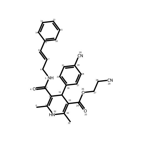 CC1=C(C(=O)NCC=Cc2ccccc2)C(c2ccc(C#N)cc2)C(C(=O)OCCC#N)=C(C)N1